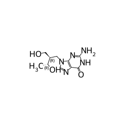 C[C@@H](O)[C@@H](CO)Cn1cnc2c(=O)[nH]c(N)nc21